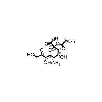 N[C@H]1[C@H]([C@H](O)[C@H](O)CO)O[C@](OC(=O)CO)(C(=O)O)C[C@@H]1O